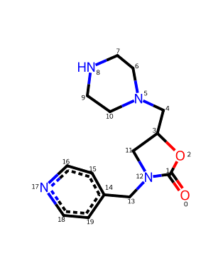 O=C1OC(CN2CCNCC2)CN1Cc1ccncc1